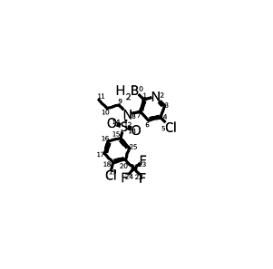 Bc1ncc(Cl)cc1N(CCC)S(=O)(=O)c1ccc(Cl)c(C(F)(F)F)c1